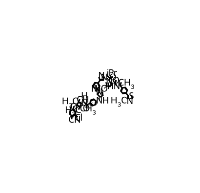 Cc1ncsc1-c1ccc(C(C)NC(=O)[C@@H]2C[C@@H](O)CN2C(=O)[C@H](C(C)C)n2cc(-c3ccnc(N4CC[C@@H](Nc5ccc(C(=O)N[C@H]6C(C)(C)[C@H](Oc7ccc(C#N)c(Cl)c7)C6(C)C)cc5)C4)c3)cn2)cc1